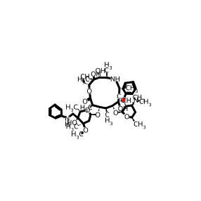 CC[C@H]1OC(=O)[C@H](C)[C@@H](O[C@H]2C[C@@](C)(OC)[C@](O)(CNc3ccccc3)[C@H](C)O2)[C@H](C)[C@@H](O[C@@H]2O[C@H](C)C[C@H](N(C)C)[C@H]2Oc2ccccc2)[C@](C)(O)C[C@@H](C)CN[C@H](C)[C@@H](O)[C@]1(C)O